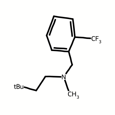 CN(CCC(C)(C)C)Cc1ccccc1C(F)(F)F